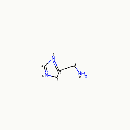 NCC1=NC=NC1